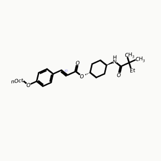 CCCCCCCCOc1ccc(/C=C/C(=O)O[C@H]2CC[C@H](NC(=O)C(C)(C)CC)CC2)cc1